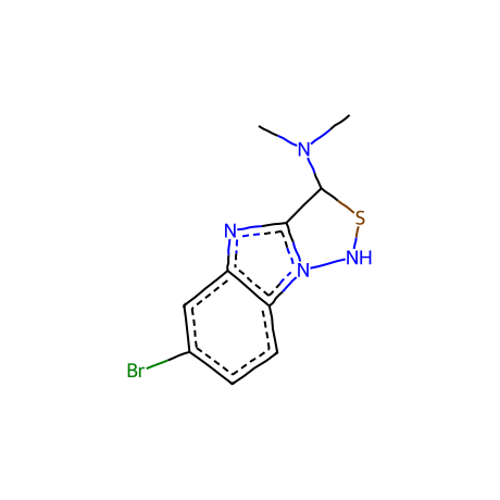 CN(C)C1SNn2c1nc1cc(Br)ccc12